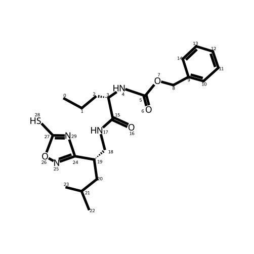 CCC[C@H](NC(=O)OCc1ccccc1)C(=O)NC[C@H](CC(C)C)c1noc(S)n1